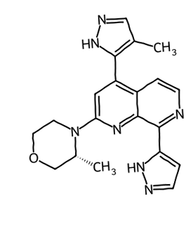 Cc1cn[nH]c1-c1cc(N2CCOC[C@H]2C)nc2c(-c3ccn[nH]3)nccc12